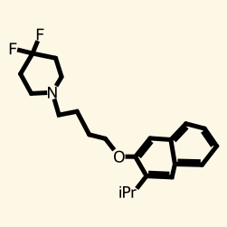 CC(C)c1cc2ccccc2cc1OCCCCN1CCC(F)(F)CC1